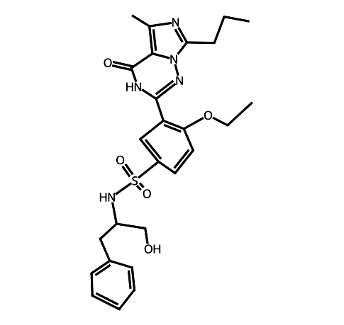 CCCc1nc(C)c2c(=O)[nH]c(-c3cc(S(=O)(=O)NC(CO)Cc4ccccc4)ccc3OCC)nn12